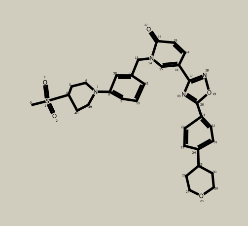 CS(=O)(=O)C1CCN(c2cccc(Cn3cc(-c4noc(-c5ccc(C6CCOCC6)cc5)n4)ccc3=O)c2)CC1